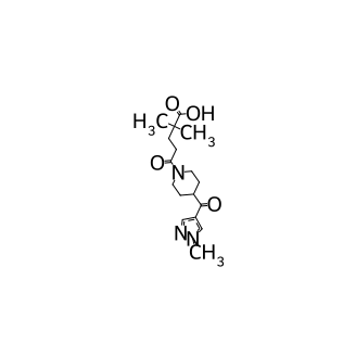 Cn1cc(C(=O)C2CCN(C(=O)CCC(C)(C)C(=O)O)CC2)cn1